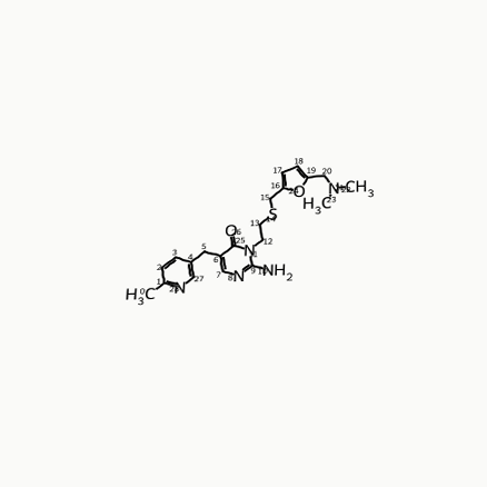 Cc1ccc(Cc2cnc(N)n(CCSCc3ccc(CN(C)C)o3)c2=O)cn1